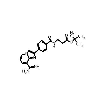 CC(C)(C)OC(=O)CCNC(=O)c1ccc(-c2cn3cccc(C(=N)N)c3n2)cc1